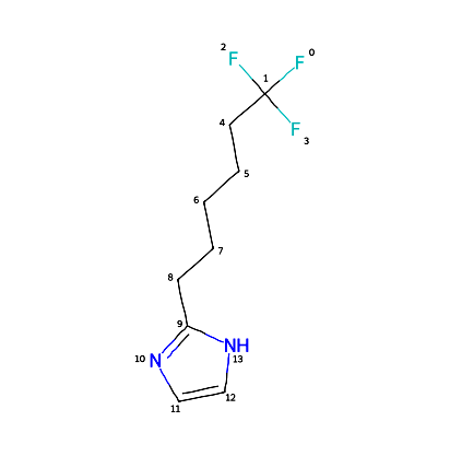 FC(F)(F)CCCCCc1ncc[nH]1